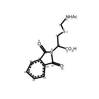 CC(=O)NCSCC(C(=O)O)N1C(=O)c2ccccc2C1=O